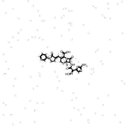 Nc1nc(/C(=N/O)C(=O)N[C@@H]2C(=O)N3C(C(=O)O)=C(/C=C4\CCN(c5cccnc5)C4=O)CS[C@H]23)cs1